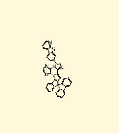 c1ccc2c(c1)-c1ccccc1C21c2ccccc2-c2c1cc1c3ncc(-c4ccc5c(c4)sc4ncccc45)n3c3nccnc3n21